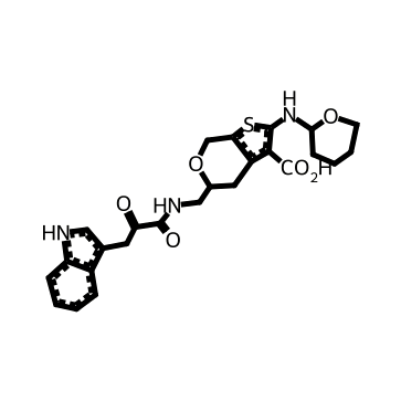 O=C(Cc1c[nH]c2ccccc12)C(=O)NCC1Cc2c(sc(NC3CCCCO3)c2C(=O)O)CO1